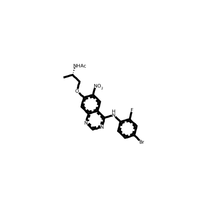 CC(=O)N[C@@H](C)COc1cc2ncnc(Nc3ccc(Br)cc3F)c2cc1[N+](=O)[O-]